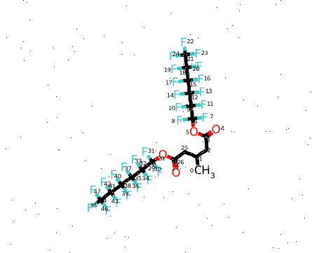 CC(CC(=O)OC(F)(F)C(F)(F)C(F)(F)C(F)(F)C(F)(F)C(F)(F)F)CC(=O)OC(F)(F)C(F)(F)C(F)(F)C(F)(F)C(F)(F)C(F)(F)F